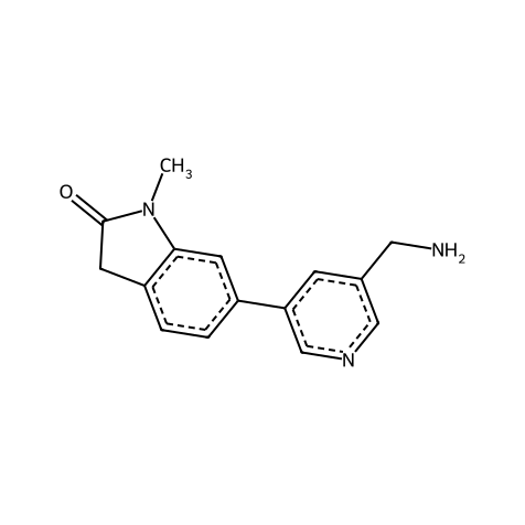 CN1C(=O)Cc2ccc(-c3cncc(CN)c3)cc21